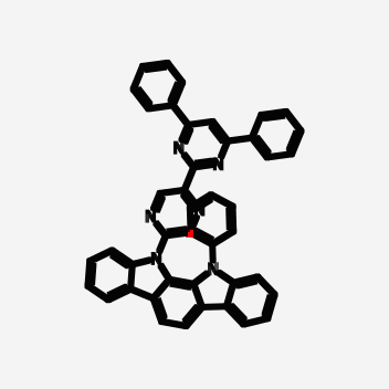 c1ccc(-c2cc(-c3ccccc3)nc(-c3cnc(-n4c5ccccc5c5ccc6c7ccccc7n(-c7ccccc7)c6c54)cn3)n2)cc1